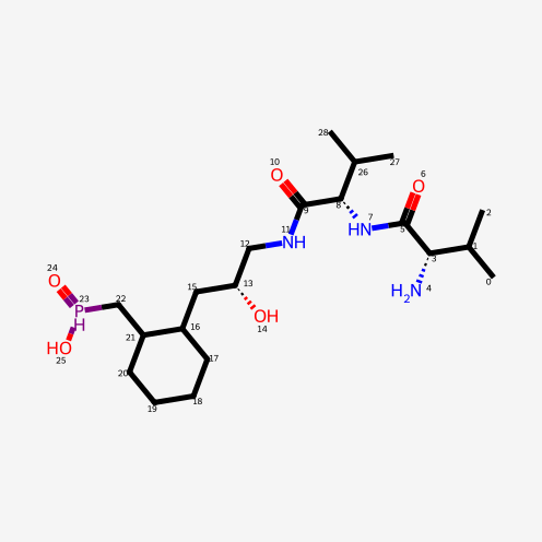 CC(C)[C@H](N)C(=O)N[C@H](C(=O)NC[C@H](O)CC1CCCCC1C[PH](=O)O)C(C)C